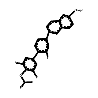 CCCCCCCc1ccc2cc(-c3ccc(-c4cc(F)c(OC(F)F)c(F)c4)c(F)c3)ccc2c1